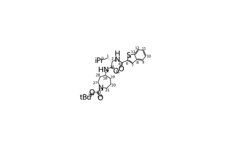 CC(C)C[C@H](NC(=O)c1cc2ccccc2s1)C(=O)NC1CCCN(C(=O)OC(C)(C)C)CC1